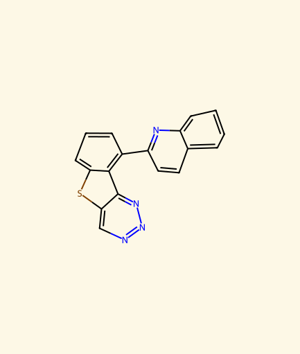 c1ccc2nc(-c3cccc4sc5cnnnc5c34)ccc2c1